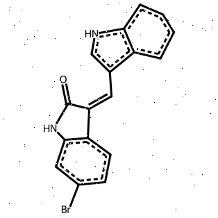 O=C1Nc2cc(Br)ccc2C1=Cc1c[nH]c2ccccc12